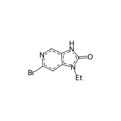 CCn1c(=O)[nH]c2cnc(Br)cc21